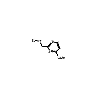 CCOCc1nccc(OC)n1